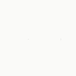 C=CC(=O)OCOC(F)(F)F